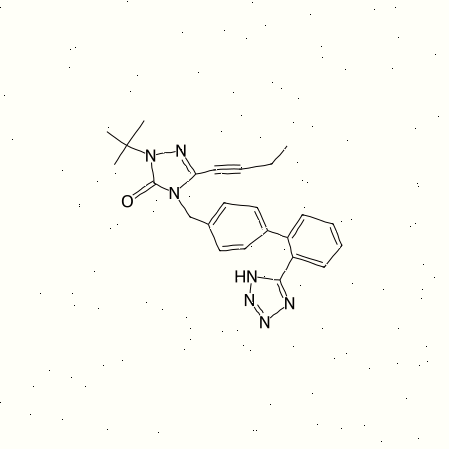 CCC#Cc1nn(C(C)(C)C)c(=O)n1Cc1ccc(-c2ccccc2-c2nnn[nH]2)cc1